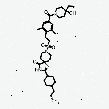 Cc1cc(C(=O)N2CCC(O)(CF)CC2)cc(C)c1CCS(=O)(=O)N1CCC2(CC1)N=C(C1CCC(CCC(F)(F)F)CC1)NC2=O